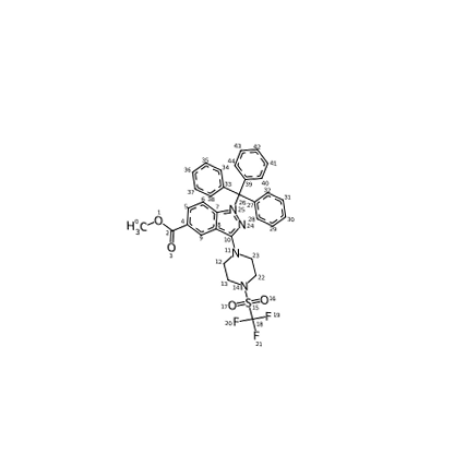 COC(=O)c1ccc2c(c1)c(N1CCN(S(=O)(=O)C(F)(F)F)CC1)nn2C(c1ccccc1)(c1ccccc1)c1ccccc1